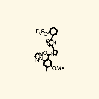 COc1cc(C(=O)N2CCC2c2noc(-c3ccccc3OC(F)(F)F)n2)c(-n2nccn2)cc1C